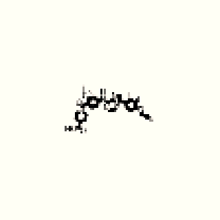 Cc1cc(Nc2nccn3c(-c4ccc(OCC#N)c(F)c4F)cnc23)ccc1C(=O)N1CCC(C(=O)O)CC1